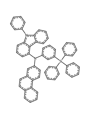 c1ccc(-n2c3ccccc3c3c(N(c4cccc([Si](c5ccccc5)(c5ccccc5)c5ccccc5)c4)c4ccc5c(ccc6ccccc65)c4)cccc32)cc1